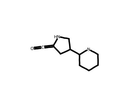 O=C=C1CC(C2CCCC[N]2)CN1